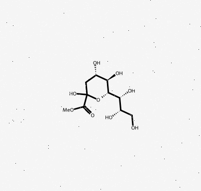 COC(=O)C1(O)C[C@H](O)[C@@H](O)[C@H]([C@H](O)[C@@H](O)CO)O1